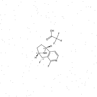 Fc1nccc2c1[C@H](F)[C@@H]1CC[C@H]2N1.O=C(O)C(F)(F)F